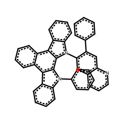 c1ccc(-c2cc3nccnc3cc2-n2c3ccccc3c3c4ccccc4c4c5ccccc5n(-c5ccccc5)c4c32)cc1